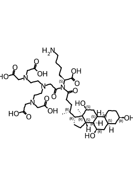 C[C@H](CCC(=O)N(C(=O)CN(CCN(CC(=O)O)CC(=O)O)CCN(CC(=O)O)CC(=O)O)[C@@H](CCCCN)C(=O)O)[C@H]1CC[C@H]2[C@@H]3[C@H](O)C[C@@H]4C[C@H](O)CC[C@]4(C)[C@H]3C[C@H](O)[C@]12C